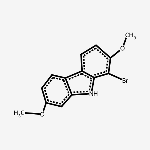 COc1ccc2c(c1)[nH]c1c(Br)c(OC)ccc12